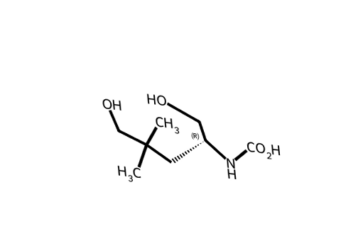 CC(C)(CO)C[C@H](CO)NC(=O)O